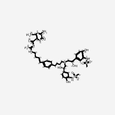 CS(=O)(=O)Nc1cc([C@H](O)CN(CCCCc2ccc(CCCCNC(N)=NC(=O)c3nc(Cl)c(N)nc3N)cc2)C[C@H](O)c2ccc(O)c(NS(C)(=O)=O)c2)ccc1O